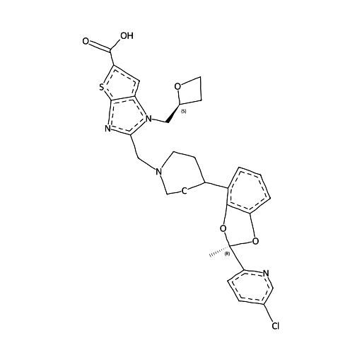 C[C@@]1(c2ccc(Cl)cn2)Oc2cccc(C3CCN(Cc4nc5sc(C(=O)O)cc5n4C[C@@H]4CCO4)CC3)c2O1